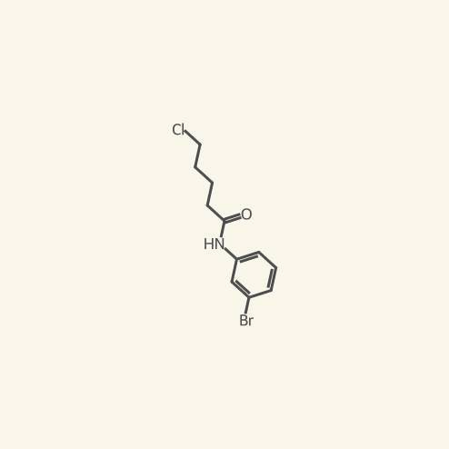 O=C(CCCCCl)Nc1cccc(Br)c1